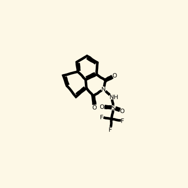 O=C1c2cccc3cccc(c23)C(=O)N1NS(=O)(=O)C(F)(F)F